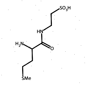 CSCCC(N)C(=O)NCCS(=O)(=O)O